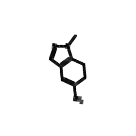 BC1=Cc2cnn(C)c2CC1